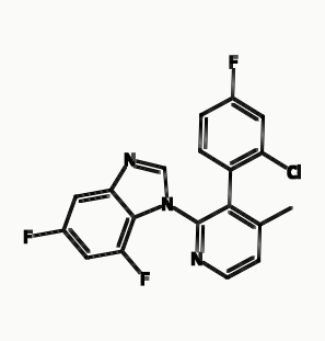 Cc1ccnc(-n2cnc3cc(F)cc(F)c32)c1-c1ccc(F)cc1Cl